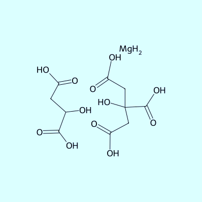 O=C(O)CC(O)(CC(=O)O)C(=O)O.O=C(O)CC(O)C(=O)O.[MgH2]